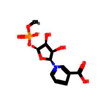 COP(=O)([O-])O[C@H]1O[C@@H]([n+]2cccc(C(=O)O)c2)[C@H](O)[C@@H]1O